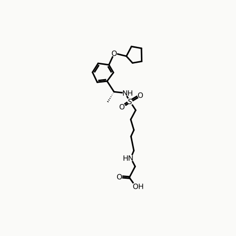 C[C@@H](NS(=O)(=O)CCCCCNCC(=O)O)c1cccc(OC2CCCC2)c1